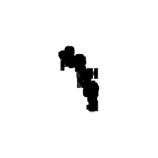 CC1(C)Oc2cc(N3CCCC3=O)c(F)cc2-c2cnc(Nc3cncc(N4CCN(COCC[Si](C)(C)C)C4=O)c3)cc21